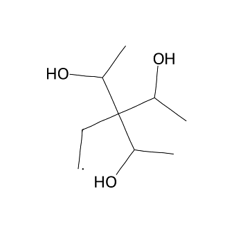 [CH2]CC(C(C)O)(C(C)O)C(C)O